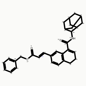 O=C(/C=C/c1ccc2c(c1)C(C(=O)NC1C3CC4CC(C3)CC1C4)=CCC2)OCc1ccccc1